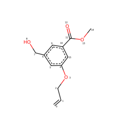 C=CCOc1cc(CO)cc(C(=O)OC)c1